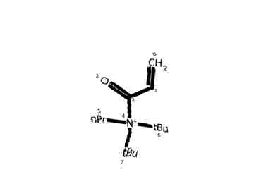 C=CC(=O)[N+](CCC)(C(C)(C)C)C(C)(C)C